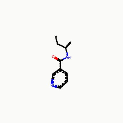 CCC(C)NC(=O)c1cccnc1